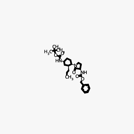 CCC[C@H]1C[C@H](NC(=O)OC(C)(C)C)CC[C@@H]1N1CC[C@H](NC(=O)OCc2ccccc2)C1=O